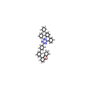 c1ccc(-c2cccc(-c3nc(-c4ccc(-c5cccc(-c6cccc7oc8ccccc8c67)c5)cc4)nc(-c4ccccc4-c4ccccc4)n3)c2)cc1